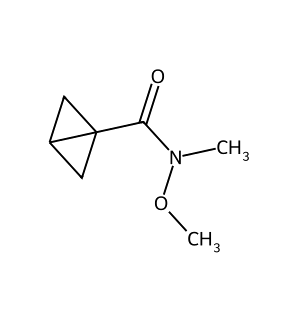 CON(C)C(=O)C12CC1C2